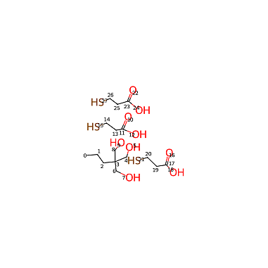 CCCC(CO)(CO)CO.O=C(O)CCS.O=C(O)CCS.O=C(O)CCS